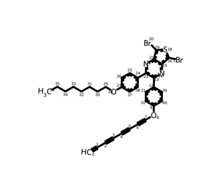 C#CC#CC#CC#COc1ccc(-c2nc3c(Br)sc(Br)c3nc2-c2ccc(OCCCCCCCC)cc2)cc1